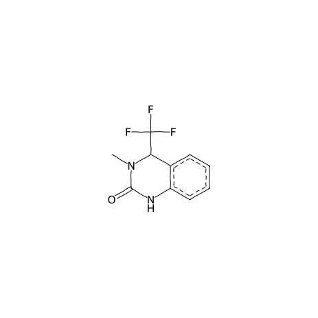 CN1C(=O)Nc2ccccc2C1C(F)(F)F